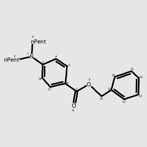 CCCCCN(CCCCC)c1ccc(C(=O)OCc2ccccc2)cc1